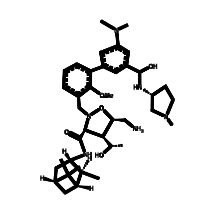 COc1c(CN2O[C@@H](CN)[C@@H]([C@H](C)O)[C@H]2C(=O)N[C@H]2C[C@H]3C[C@@H]([C@@H]2C)C3(C)C)cccc1-c1cc(C(O)N[C@@H]2CCN(C)C2)cc(N(C)C)c1